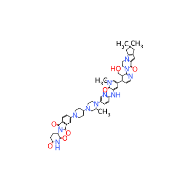 C[C@H]1CN(C2CCN(c3ccc4c(c3)C(=O)N(C3CCC(=O)NC3=O)C4=O)CC2)CCN1c1ccc(Nc2cc(-c3ccnc(N4CCn5c(cc6c5CC(C)(C)C6)C4=O)c3CO)cn(C)c2=O)nc1